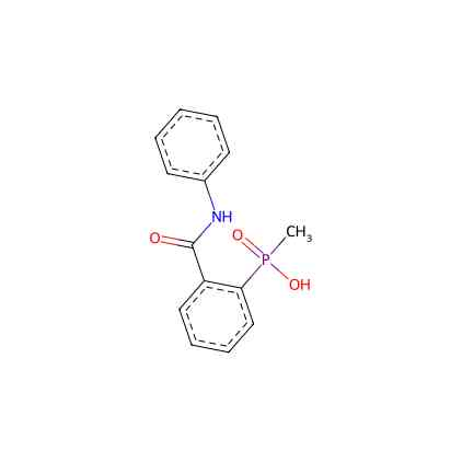 CP(=O)(O)c1ccccc1C(=O)Nc1ccccc1